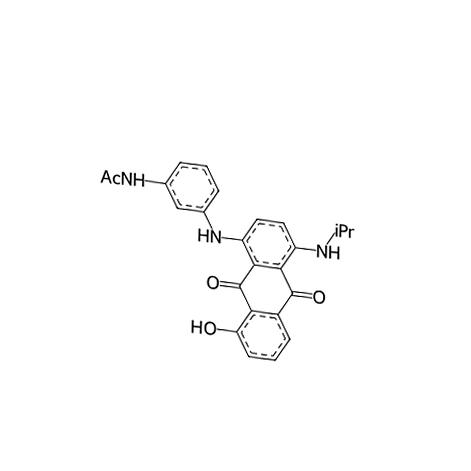 CC(=O)Nc1cccc(Nc2ccc(NC(C)C)c3c2C(=O)c2c(O)cccc2C3=O)c1